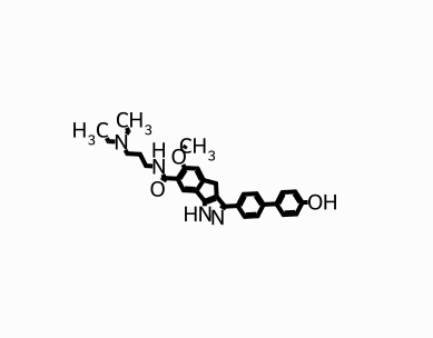 CCN(CC)CCCNC(=O)c1cc2c(cc1OC)Cc1c(-c3ccc(-c4ccc(O)cc4)cc3)n[nH]c1-2